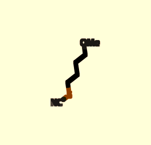 COCCCCSC#N